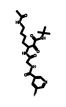 CC(=O)NCCCCC(NC(=O)CNC(=O)c1cncc(F)c1)C(=O)C(=O)NC(C)(C)C